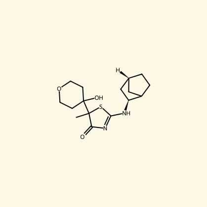 CC1(C2(O)CCOCC2)SC(N[C@H]2C[C@@H]3CCC2C3)=NC1=O